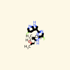 CC(=O)C[C@@H](Nc1nc(-c2c[nH]c3ncc(F)cc23)ncc1F)C(C)(C)C